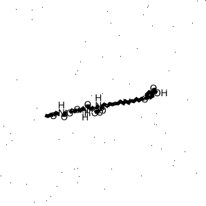 CCCOCCNC(=O)COCCOCCNC(=O)CC[C@H](NC(=O)CCCCCCCCCCCCCCCOc1ccc(C(=O)O)cc1)C(=O)O